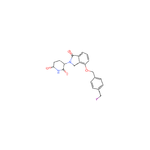 O=C1CCC(N2Cc3c(OCc4ccc(CI)cc4)cccc3C2=O)C(=O)N1